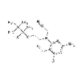 CC(C)(C)[Si](C)(C)OCCN(CC#N)c1nc(N)nc(Cl)c1C=O